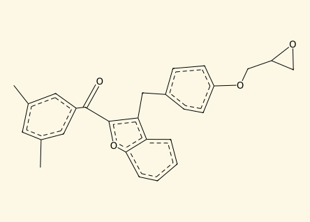 Cc1cc(C)cc(C(=O)c2oc3ccccc3c2Cc2ccc(OCC3CO3)cc2)c1